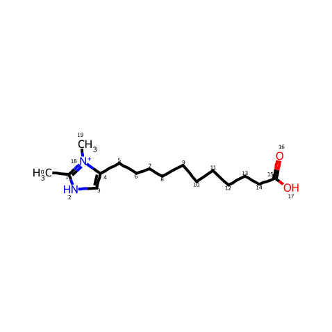 Cc1[nH]cc(CCCCCCCCCCC(=O)O)[n+]1C